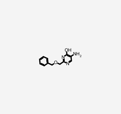 Nc1cnc(COCc2ccccc2)nc1O